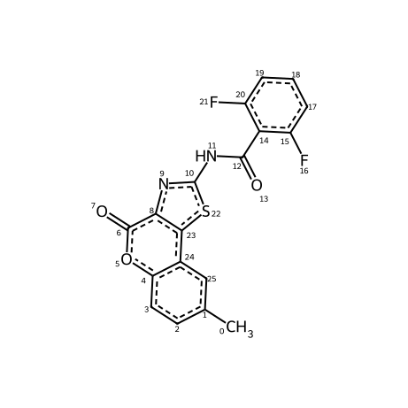 Cc1ccc2oc(=O)c3nc(NC(=O)c4c(F)cccc4F)sc3c2c1